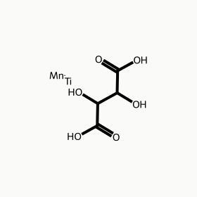 O=C(O)C(O)C(O)C(=O)O.[Mn].[Ti]